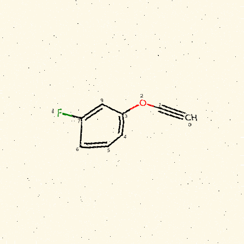 C#COc1cccc(F)c1